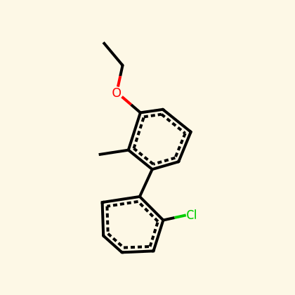 CCOc1cccc(-c2ccccc2Cl)c1C